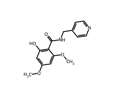 COc1cc(O)c(C(=O)NCc2ccncc2)c(OC)c1